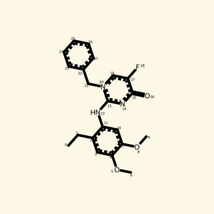 CCc1cc(OC)c(OC)cc1Nc1nc(=O)c(F)cn1Cc1ccccc1